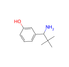 CC(C)(C)C(N)c1cccc(O)c1